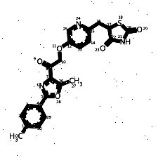 Cc1ccc(-c2nc(C(=O)COc3ccc(CC4SC(=O)NC4=O)nc3)c(C)o2)cc1